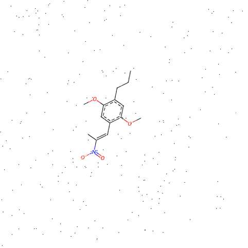 CCCc1cc(OC)c(/C=C(\C)[N+](=O)[O-])cc1OC